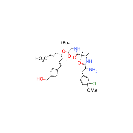 COc1ccc(C[C@@H](N)C(=O)NC(C)C(C)(C)C(=O)N[C@@H](CC(C)(C)C)C(=O)O[C@@H](C/C=C/C(=O)O)[C@H](C)/C=C/c2ccc(CO)cc2)cc1Cl